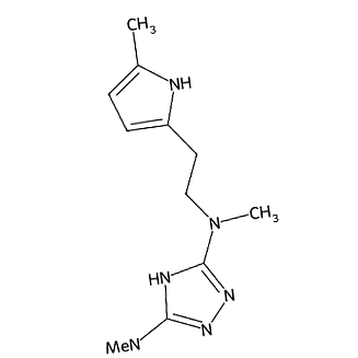 CNc1nnc(N(C)CCc2ccc(C)[nH]2)[nH]1